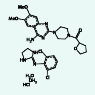 COc1cc2nc(N3CCN(C(=O)C4CCCO4)CC3)nc(N)c2cc1OC.Cl.Clc1cccc(Cl)c1N=C1NCCN1.O.O